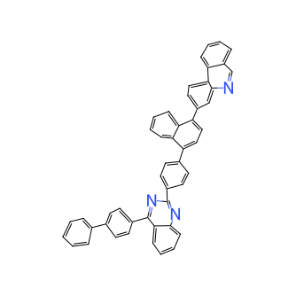 c1ccc(-c2ccc(-c3nc(-c4ccc(-c5ccc(-c6ccc7c(c6)ncc6ccccc67)c6ccccc56)cc4)nc4ccccc34)cc2)cc1